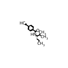 C#Cc1ccc(C(=O)N[C@@H](CCC)C(C)C)cc1